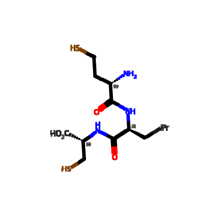 CC(C)C[C@H](NC(=O)[C@@H](N)CCS)C(=O)N[C@H](CS)C(=O)O